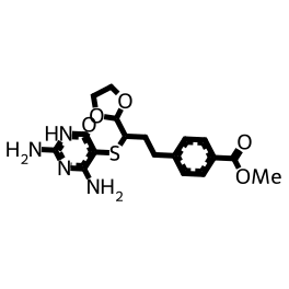 COC(=O)c1ccc(CCC(Sc2c(N)nc(N)[nH]c2=O)C2OCCO2)cc1